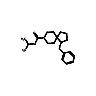 CC(OC(=O)N1CCC2(CCCN2Cc2ccccc2)CC1)C(F)(F)F